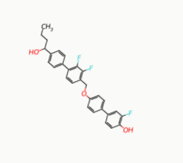 CCCC(O)c1ccc(-c2ccc(COc3ccc(-c4ccc(O)c(F)c4)cc3)c(F)c2F)cc1